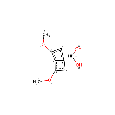 COc1cc2cc(OC)c1-2.OBO